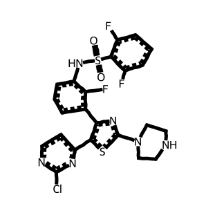 O=S(=O)(Nc1cccc(-c2nc(N3CCNCC3)sc2-c2ccnc(Cl)n2)c1F)c1c(F)cccc1F